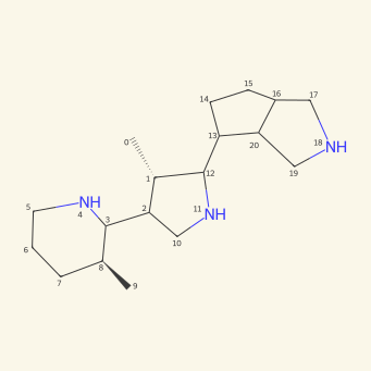 C[C@H]1C(C2NCCC[C@@H]2C)CNC1C1CCC2CNCC21